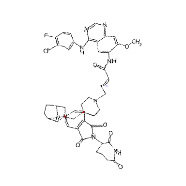 COc1cc2ncnc(Nc3ccc(F)c(Cl)c3)c2cc1NC(=O)/C=C/CN1CCC(CN2CC3CCC(C2)N3c2ccc3c(c2)C(=O)N(C2CCC(=O)NC2=O)C3=O)CC1